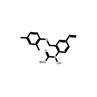 C=Cc1ccc(N(O)C(=O)SC)c(COc2ccc(C)cc2C)c1